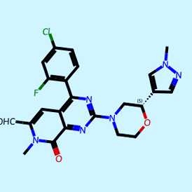 Cn1cc([C@H]2CN(c3nc(-c4ccc(Cl)cc4F)c4cc(C=O)n(C)c(=O)c4n3)CCO2)cn1